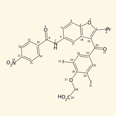 CC(C)c1oc2ccc(NC(=O)c3ccc([N+](=O)[O-])cc3)cc2c1C(=O)c1cc(I)c(OCC(=O)O)c(I)c1